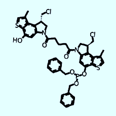 Cc1csc2c(O)cc3c(c12)[C@H](CCl)CN3C(=O)CCCC(=O)N1C[C@@H](CCl)c2c1cc(OP(OCc1ccccc1)OCc1ccccc1)c1scc(C)c21